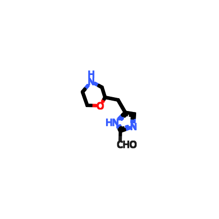 O=Cc1ncc(CC2CNCCO2)[nH]1